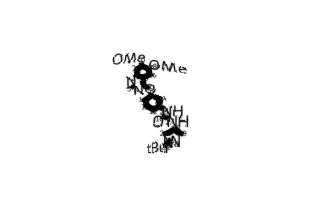 COc1cc2ncnc(Oc3cccc(NC(=O)Nc4cnn(C(C)(C)C)c4)c3)c2cc1OC